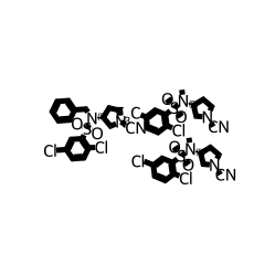 CN([C@@H]1CCN(C#N)C1)S(=O)(=O)c1cc(C(F)(F)F)ccc1Cl.CN([C@@H]1CCN(C#N)C1)S(=O)(=O)c1cc(Cl)ccc1Cl.N#CN1CC[C@@H](N(Cc2ccccc2)S(=O)(=O)c2cc(Cl)ccc2Cl)C1